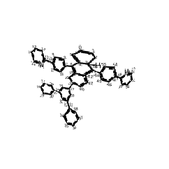 C1=CC[C@H]2C(=C1)C(c1ccc(-c3ccccn3)cc1)=c1cc(-c3cc(-c4ccccc4)cc(-c4ccccc4)c3)ccc1=C2c1ccc(-c2ccccn2)cc1